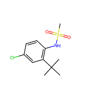 CC(C)(C)c1cc(Cl)ccc1NS(C)(=O)=O